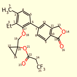 CCc1c(C)ccc(-c2ccc3c(c2)COC3=O)c1OCC1(OC(=O)CC(F)(F)F)CC1